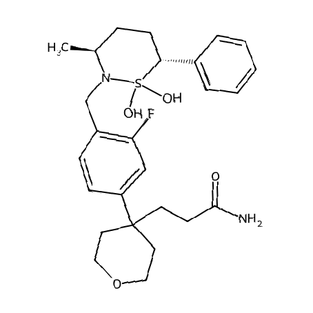 C[C@H]1CC[C@H](c2ccccc2)S(O)(O)N1Cc1ccc(C2(CCC(N)=O)CCOCC2)cc1F